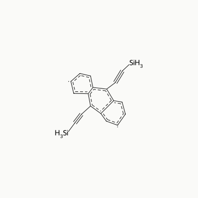 [SiH3]C#Cc1c2c[c]ccc2c(C#C[SiH3])c2cc[c]cc12